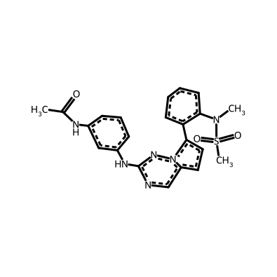 CC(=O)Nc1cccc(Nc2ncc3ccc(-c4ccccc4N(C)S(C)(=O)=O)n3n2)c1